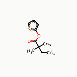 CCC(C)(C)C(=O)Oc1cccs1